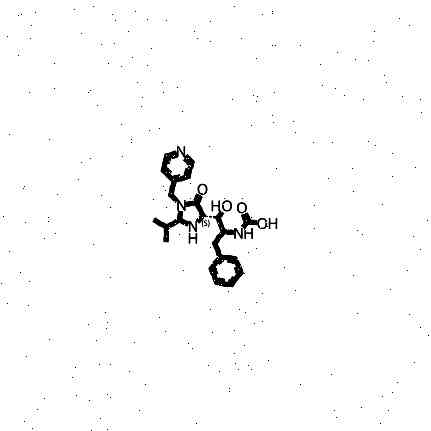 CC(C)C1N[C@@H](C(O)C(Cc2ccccc2)NC(=O)O)C(=O)N1Cc1ccncc1